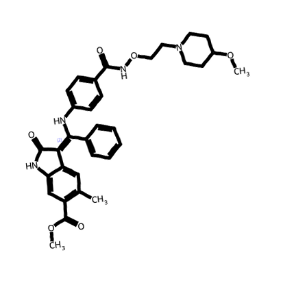 COC(=O)c1cc2c(cc1C)/C(=C(/Nc1ccc(C(=O)NOCCN3CCC(OC)CC3)cc1)c1ccccc1)C(=O)N2